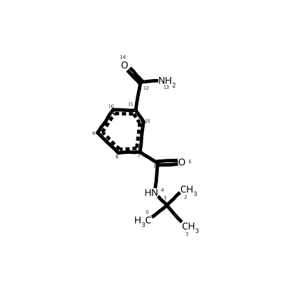 CC(C)(C)NC(=O)c1cccc(C(N)=O)c1